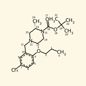 CCCOc1ccc(Cl)cc1CN1CCN(C(=O)OC(C)(C)C)[C@@H](C)C1